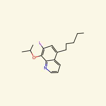 CCCCCc1cc(I)c(OC(C)C)c2ncccc12